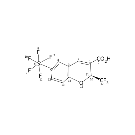 O=C(O)C1=Cc2cc(S(F)(F)(F)(F)F)ccc2O[C@@H]1C(F)(F)F